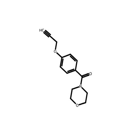 C#CCOc1ccc(C(=O)N2CCOCC2)cc1